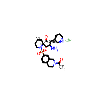 COC(=O)[C@@]1(C(=O)C(N)CC2=CCCNC2)C[C@@H](C)CCN1S(=O)(=O)c1ccc2c(c1)CN(C(=O)C(F)(F)F)CC2.Cl